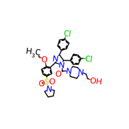 CCOc1ccc(S(=O)(=O)N2CCCC2)cc1C1=NC(c2ccc(Cl)cc2)C(c2ccc(Cl)cc2)N1C(=O)N1CCN(CCO)CC1